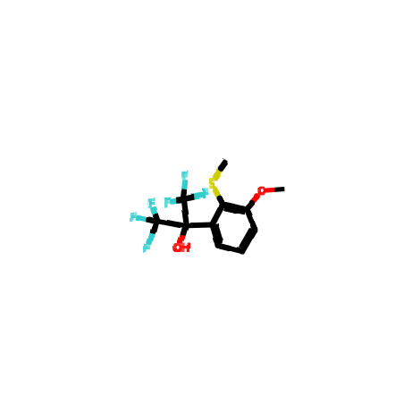 COc1cccc(C(O)(C(F)(F)F)C(F)(F)F)c1SC